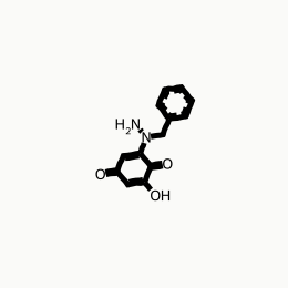 NN(Cc1ccccc1)C1=CC(=O)C=C(O)C1=O